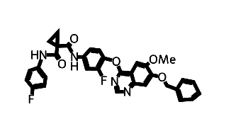 COc1cc2c(Oc3ccc(NC(=O)C4(C(=O)Nc5ccc(F)cc5)CC4)cc3F)ncnc2cc1OCc1ccccc1